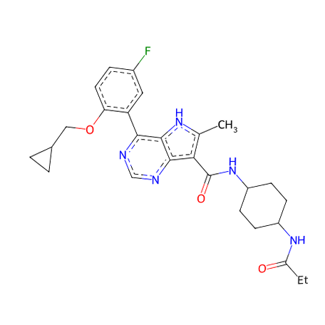 CCC(=O)NC1CCC(NC(=O)c2c(C)[nH]c3c(-c4cc(F)ccc4OCC4CC4)ncnc23)CC1